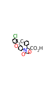 O=C(O)C1OCC(=O)N(c2ccc(Oc3ccc(Cl)cc3)cc2)C1c1cccc(C(F)(F)F)c1